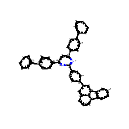 c1ccc(-c2ccc(-c3cc(-c4ccc(-c5ccccc5)cc4)nc(-c4ccc(-c5cc6c7c(cccc7c5)-c5ccccc5-6)cc4)n3)cc2)cc1